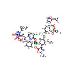 CC(C)Oc1cc(-n2nc(C(C)(C)C)oc2=O)c(Cl)cc1Cl.CCc1cccc(C)c1N(C(=O)CCl)C(C)COC.CS(=O)(=O)c1cc(C(F)(F)F)ccc1C(=O)c1cnoc1C1CC1.O=C(O)CNCP(=O)(O)O